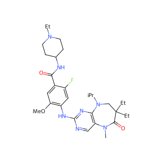 CCN1CCC(NC(=O)c2cc(OC)c(Nc3ncc4c(n3)N(C(C)C)CC(CC)(CC)C(=O)N4C)cc2F)CC1